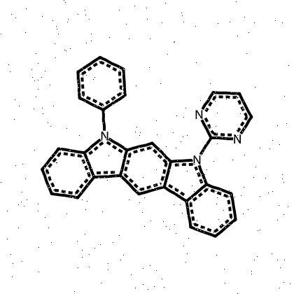 c1ccc(-n2c3ccccc3c3cc4c5ccccc5n(-c5ncccn5)c4cc32)cc1